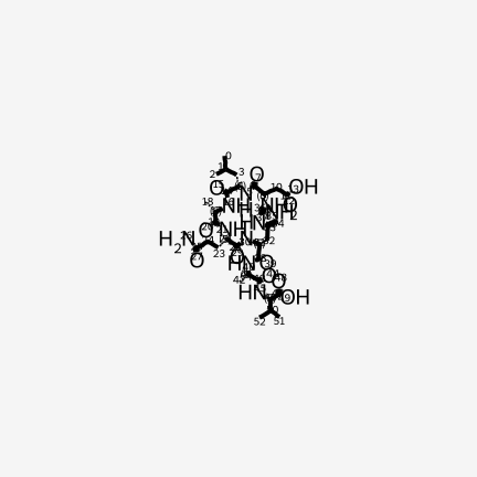 CC(C)C[C@H](NC(=O)[C@@H](N)CC(=O)O)C(=O)N[C@@H](C)C(=O)N[C@@H](CCC(N)=O)C(=O)N[C@@H](Cc1c[nH]cn1)C(=O)N[C@@H](C)C(=O)N[C@H](C(=O)O)C(C)C